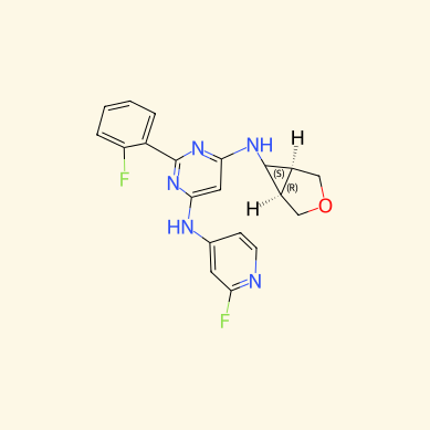 Fc1cc(Nc2cc(NC3[C@H]4COC[C@@H]34)nc(-c3ccccc3F)n2)ccn1